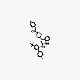 Cc1ccc(-n2nc(C(C)(C)C)cc2NC(=O)Nc2ccccc2CC2CCN(C(=O)Cc3ccncc3)CC2)cc1